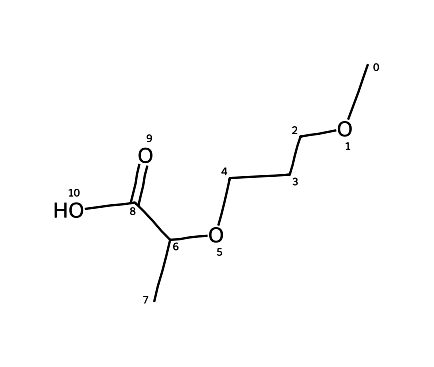 COCCCOC(C)C(=O)O